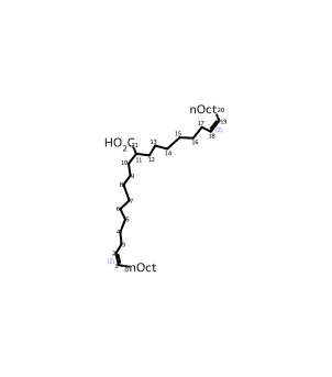 CCCCCCCC/C=C\CCCCCCCCC(CCCCCC/C=C\CCCCCCCC)C(=O)O